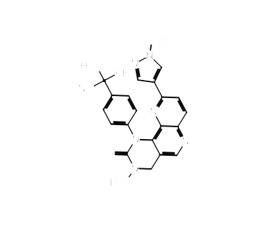 CN1Cc2cnc3ccc(-c4cnn(C)c4)nc3c2N(c2ccc(C(C)(C)C#N)cc2)C1=O